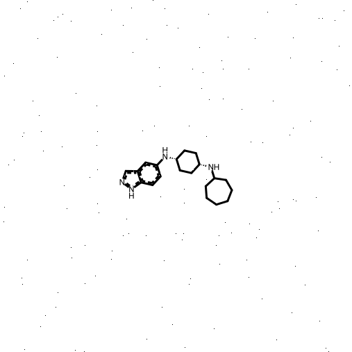 c1cc2[nH]ncc2cc1N[C@H]1CC[C@@H](NC2CCCCCC2)CC1